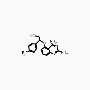 Nc1nc(N)c2c(OC(CO)c3ccc(C(F)(F)F)cc3)cccc2n1